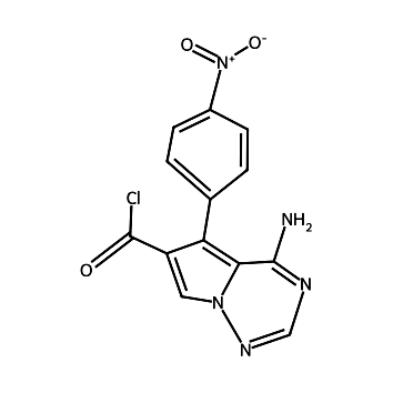 Nc1ncnn2cc(C(=O)Cl)c(-c3ccc([N+](=O)[O-])cc3)c12